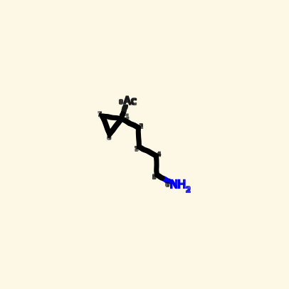 CC(=O)C1(CCCCN)CC1